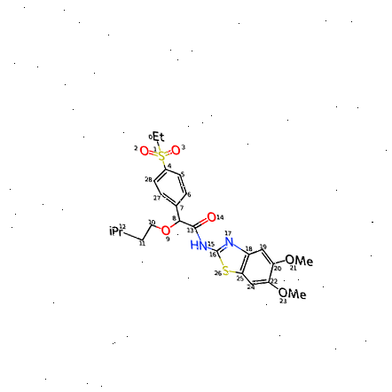 CCS(=O)(=O)c1ccc(C(OCCC(C)C)C(=O)Nc2nc3cc(OC)c(OC)cc3s2)cc1